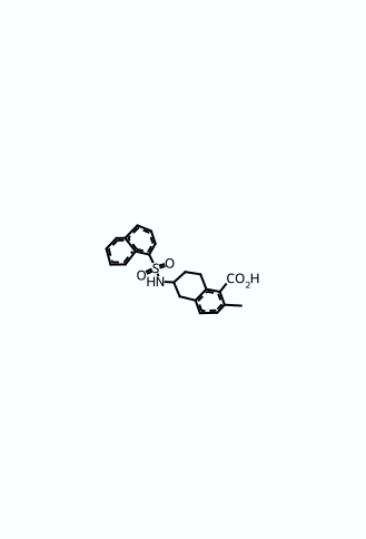 Cc1ccc2c(c1C(=O)O)CCC(NS(=O)(=O)c1cccc3ccccc13)C2